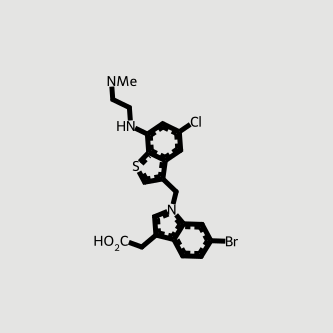 CNCCNc1cc(Cl)cc2c(Cn3cc(CC(=O)O)c4ccc(Br)cc43)csc12